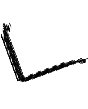 Br.Br.Br.Br.Br.Br.Br.Br.Br.Br.Br.Br.Br.Br.Br.Br.Br.Br.Br.Br.Br.Br.Br.Br.Br.Br.Br.Br.Br.Br.Br.Br.Br.Br.Br.Br.Br.Br.Br.Br.Br.Br.Br.Br.Br.Br.Br.Br.Br.Br.Br.Br.Br.Br.Br.Br.Br.Br.Br.Br.Br.Br.Br.Br.Br.Br.Br.Br.Br.Br.Br.Br.Br.Br.Br.Br.Br.Br.Br.Br.[Ag+].[Ag+].[Ag+].[Ag+].[Ag+].[Ag+].[Ag+].[Ag+].[Ag+].[Ag+].[Br-].[Br-].[Br-].[Br-].[Br-].[Br-].[Br-].[Br-].[Br-].[Br-]